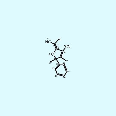 CC1=C(C#N)/C(=C(\C)C#N)OC1(C)c1ccccc1